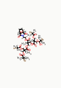 CC(C)(Br)C(=O)OCC(C)(COC(=O)C(C)(C)Br)C(=O)OCC(C)(COC(=O)C(C)(COC(=O)C(C)(C)Br)COC(O)C(C)(C)Br)C(=O)OCCN1C(=O)[C@@H]2C3C=CC(O3)[C@@H]2C1=O